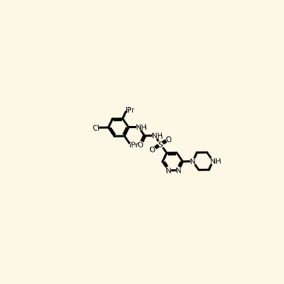 CC(C)c1cc(Cl)cc(C(C)C)c1NC(=O)NS(=O)(=O)c1cnnc(N2CCNCC2)c1